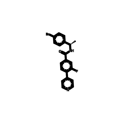 C[C@H](NC(=O)c1ccc(-c2ccncc2)c(F)c1)c1ccc(Br)cc1